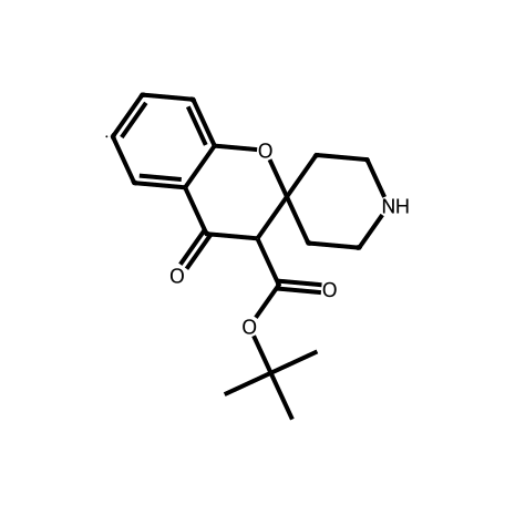 CC(C)(C)OC(=O)C1C(=O)c2c[c]ccc2OC12CCNCC2